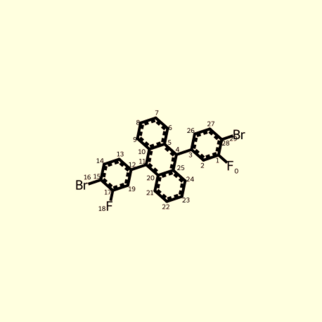 Fc1cc(-c2c3ccccc3c(-c3ccc(Br)c(F)c3)c3ccccc23)ccc1Br